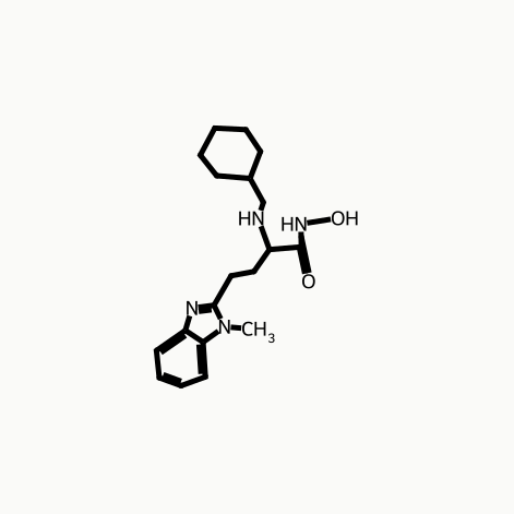 Cn1c(CCC(NCC2CCCCC2)C(=O)NO)nc2ccccc21